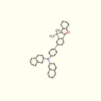 CC1(C)c2cc(-c3ccc(N(c4ccc5ccccc5c4)c4ccc5ccccc5c4)cc3)ccc2-c2oc3ccccc3c21